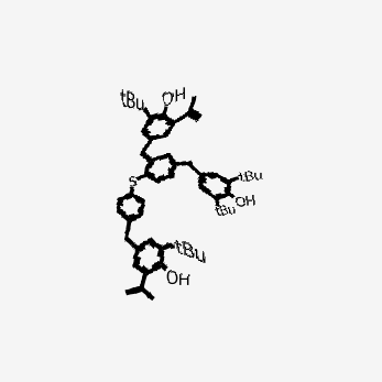 C=C(C)c1cc(Cc2ccc(Sc3ccc(Cc4cc(C(C)(C)C)c(O)c(C(C)(C)C)c4)cc3Cc3cc(C(=C)C)c(O)c(C(C)(C)C)c3)cc2)cc(C(C)(C)C)c1O